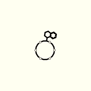 c1ccc2c(c1)CCCC2C1COCCOCCOCCOCCOCCO1